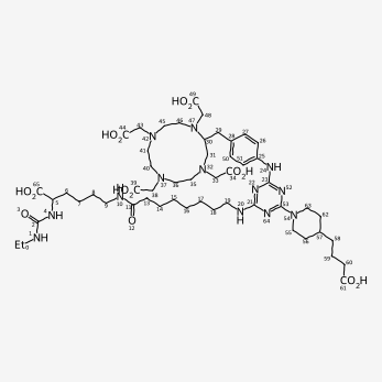 CCNC(=O)NC(CCCCNC(=O)CCCCCCCNc1nc(Nc2ccc(CC3CN(CC(=O)O)CCN(CC(=O)O)CCN(CC(=O)O)CCN3CC(=O)O)cc2)nc(N2CCC(CCCC(=O)O)CC2)n1)C(=O)O